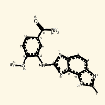 Cc1nc2ccc3sc(Nc4cc(C(N)=O)ccc4OC(C)C)nc3c2s1